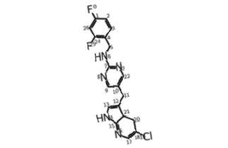 Fc1ccc(CNc2ncc(CC3=CNC4=NC=C(Cl)CC34)cn2)c(F)c1